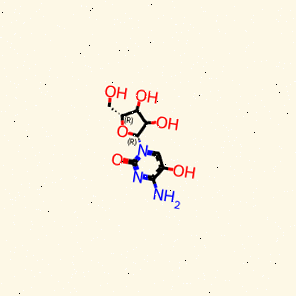 Nc1nc(=O)n([C@@H]2O[C@H](CO)C(O)C2O)cc1O